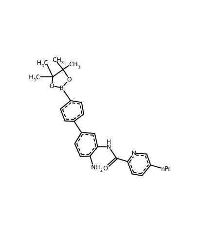 CCCc1ccc(C(=O)Nc2cc(-c3ccc(B4OC(C)(C)C(C)(C)O4)cc3)ccc2N)nc1